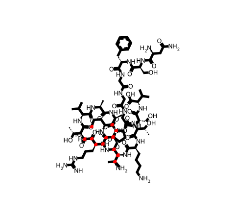 CC[C@H](C)[C@H](NC(=O)[C@H](CCC(=O)O)NC(=O)[C@@H](NC(=O)[C@H](CCCCN)NC(=O)[C@@H](NC(=O)CNC(=O)CNC(=O)CNC(=O)[C@H](Cc1ccccc1)NC(=O)[C@H](CO)NC(=O)[C@@H](N)CC(N)=O)[C@@H](C)O)C(C)C)C(=O)N[C@@H](CCCCN)C(=O)N[C@@H](CCCNC(=N)N)C(=O)N[C@H](C(=O)N[C@H](C(=O)N[C@@H](C)C(=O)N[C@@H](C)C(=O)N1CCC[C@H]1C(=O)N[C@@H](CO)C(=O)N[C@H](C(=O)O)C(C)C)C(C)C)[C@@H](C)O